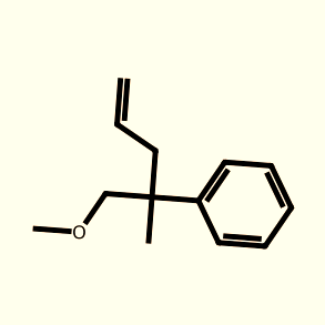 C=CCC(C)(COC)c1ccccc1